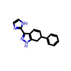 C1=CC(c2ccccc2)Cc2[nH]nc(-c3ncc[nH]3)c21